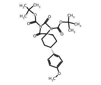 COc1ccc([C@H]2CC[C@@]3(CC2)C(=O)N(C(=O)OC(C)(C)C)C(=O)N3C(=O)OC(C)(C)C)cc1